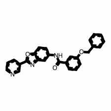 O=C(Nc1ccc2oc(-c3cccnc3)nc2c1)c1cccc(OCc2ccccc2)c1